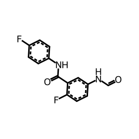 O=CNc1ccc(F)c(C(=O)Nc2ccc(F)cc2)c1